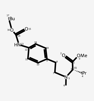 COC(=O)[C@H](C(C)C)N(C)CCc1ccc(NC(=O)OC(C)(C)C)cc1